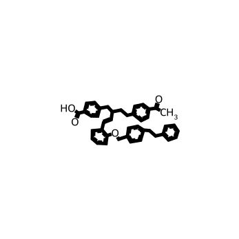 CC(=O)c1ccc(CCC(/C=C/c2ccccc2OCc2ccc(CCc3ccccc3)cc2)Cc2ccc(C(=O)O)cc2)cc1